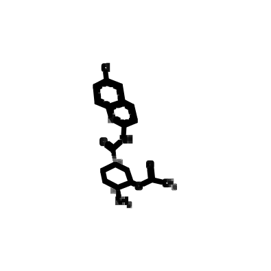 N[C@H]1CC[C@H](C(=O)Nc2ccc3cc(Cl)ccc3n2)CC1OC(=O)C(F)(F)F